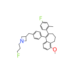 COc1cccc2c1CCCC(c1ccc(F)cc1C)=C2c1ccc(CC2CN(CCCF)C2)cc1